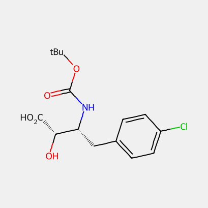 CC(C)(C)OC(=O)N[C@H](Cc1ccc(Cl)cc1)[C@H](O)C(=O)O